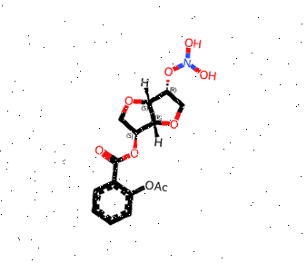 CC(=O)Oc1ccccc1C(=O)O[C@H]1CO[C@H]2[C@@H]1OC[C@H]2ON(O)O